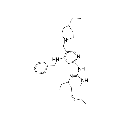 CC/C=C\CC(CC)N=C(NC)Nc1cc(NCc2ccccc2)c(CN2CCN(CC)CC2)cn1